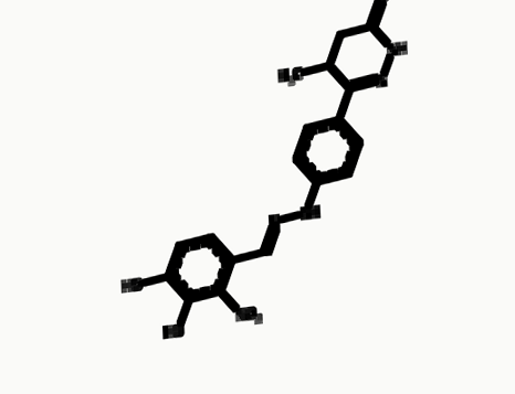 CC1CC(=O)NN=C1c1ccc(NN=Cc2ccc(O)c(O)c2[N+](=O)[O-])cc1